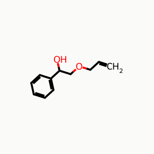 C=CCOCC(O)c1ccccc1